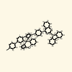 Cc1ccc(-c2ccc3c(c2)C2(c4ccccc4Oc4ccccc42)c2cc(-c4ccc(-c5nc(-n6c7ccccc7c7ccccc76)nc6ccccc56)cc4)ccc2-3)cc1